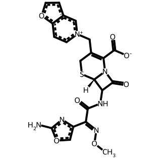 CON=C(C(=O)NC1C(=O)N2C(C(=O)[O-])=C(C[n+]3ccc4occc4c3)CS[C@@H]12)c1coc(N)n1